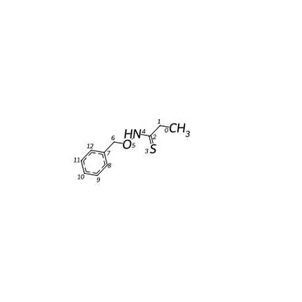 CCC(=S)NOCc1ccccc1